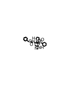 O=C(N[C@@H](Cc1c[nH]cn1)C(=O)N1CCC[C@H]1C(=O)NC1CCCCC1)OCc1ccccc1